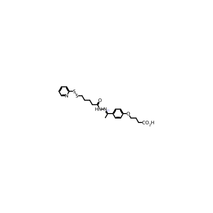 C/C(=N\NC(=O)CCCCSSc1ccccn1)c1ccc(OCCCC(=O)O)cc1